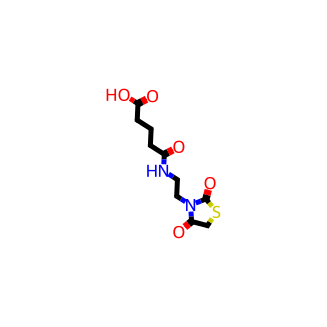 O=C(O)CCCC(=O)NCCN1C(=O)CSC1=O